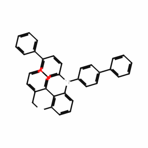 c1ccc(-c2ccc(N(c3ccc(-c4ccccc4)cc3)c3cccc4c3-c3ccccc3CO4)cc2)cc1